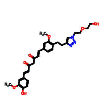 COc1cc(/C=C/C(=O)CC(=O)/C=C/c2ccc(CCc3cn(CCOCCO)nn3)c(OC)c2)ccc1O